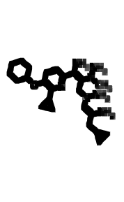 CN(N)/C(CN(N)/C=C(\N)CC1CC1)=C(\N)c1ccc(OC2CCCCC2)c(C2CC2)n1